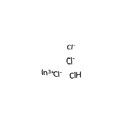 Cl.[Cl-].[Cl-].[Cl-].[In+3]